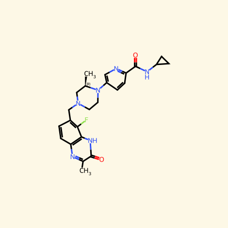 Cc1nc2ccc(CN3CCN(c4ccc(C(=O)NC5CC5)nc4)[C@H](C)C3)c(F)c2[nH]c1=O